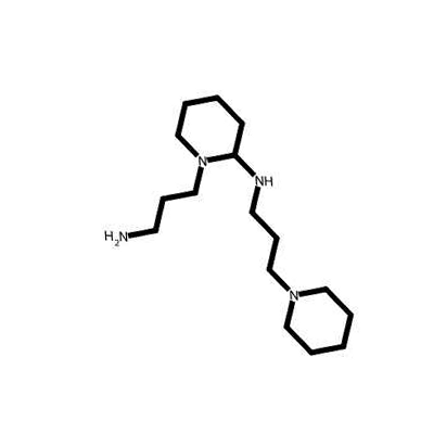 NCCCN1CCCCC1NCCCN1CCCCC1